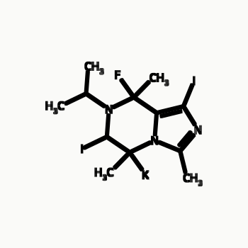 Cc1nc(I)c2n1[C](C)([K])C(I)N(C(C)C)C2(C)F